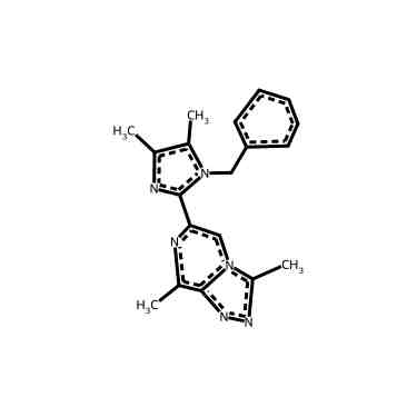 Cc1nc(-c2cn3c(C)nnc3c(C)n2)n(Cc2ccccc2)c1C